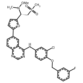 CON(C)[C@H](CS(C)(=O)=O)c1ccc(-c2ccc3ncnc(Nc4ccc(OCc5cccc(F)c5)c(Cl)c4)c3c2)o1